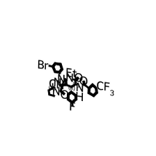 CCN1C(=O)[C@H](NC(=O)c2cccc(C(F)(F)F)c2)[C@H](c2ccc(F)cc2)c2c(C(=O)N3CCC[C@H]3C#N)nn(-c3cccc(Br)c3)c21